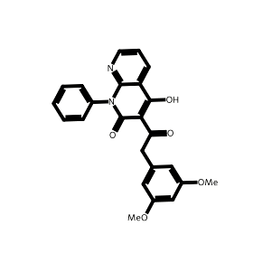 COc1cc(CC(=O)c2c(O)c3cccnc3n(-c3ccccc3)c2=O)cc(OC)c1